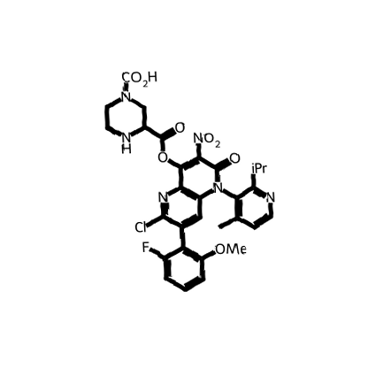 COc1cccc(F)c1-c1cc2c(nc1Cl)c(OC(=O)C1CN(C(=O)O)CCN1)c([N+](=O)[O-])c(=O)n2-c1c(C)ccnc1C(C)C